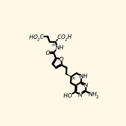 Nc1nc(O)c2c(n1)NC[C@H](CCc1ccc(C(=O)N[C@@H](CCC(=O)O)C(=O)O)o1)C2